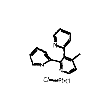 Cc1ccnc(-c2ccccn2)c1-c1ccccn1.[Cl][Pt][Cl]